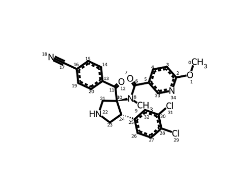 COc1ccc(C(=O)N(C)[C@]2(C(=O)c3ccc(C#N)cc3)CNC[C@H]2c2ccc(Cl)c(Cl)c2)cn1